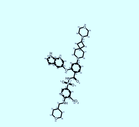 O=C(NS(=O)(=O)c1cnc(NCC2CCOCC2)c([N+](=O)[O-])c1)c1ccc(N2CCC3(CC2)CC(N2CCOCC2)C3)cc1Oc1cnc2[nH]ccc2c1